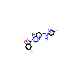 Fc1ccc(NC[C@@H]2CC[C@@H]3CN(c4noc5ccc(F)cc45)CCN3C2)nc1